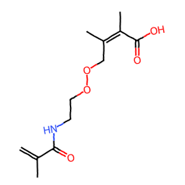 C=C(C)C(=O)NCCOOC/C(C)=C(/C)C(=O)O